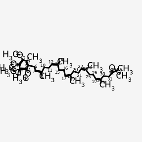 COc1c(C)c(CC=C(C)CCC=C(C)CCC=C(C)CCC=C(C)CCC=C(C)CCC2OC2(C)C)c(OC)c(OC)c1OC